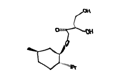 CC(C)[C@@H]1CC[C@@H](C)C[C@H]1OC(=O)C(O)CO